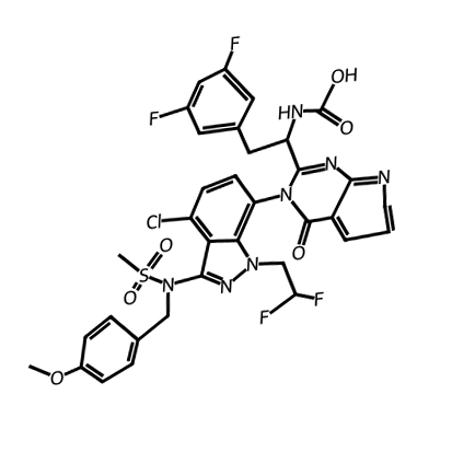 COc1ccc(CN(c2nn(CC(F)F)c3c(-n4c(C(Cc5cc(F)cc(F)c5)NC(=O)O)nc5ncccc5c4=O)ccc(Cl)c23)S(C)(=O)=O)cc1